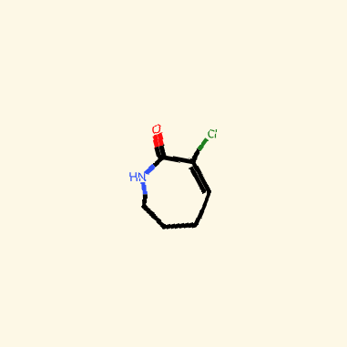 O=C1NCCCC=C1Cl